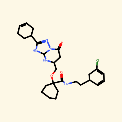 O=C1CC(COC2(C(=O)NCCC3C=CC=C(Cl)C3)CCCCC2)NC2NC(C3CC=CCC3)=NN12